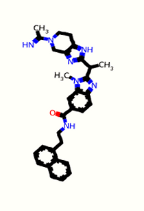 CC(=N)N1CCc2[nH]c(C(C)c3nc4ccc(C(=O)NCCc5cccc6ccccc56)cc4n3C)nc2C1